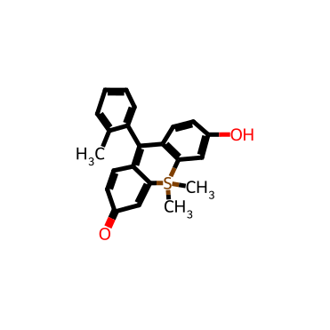 Cc1ccccc1C1=C2C=CC(=O)C=C2S(C)(C)c2cc(O)ccc21